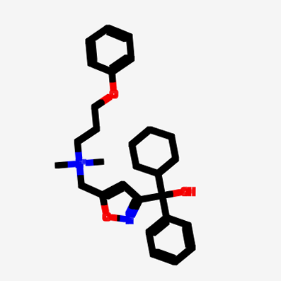 C[N+](C)(CCCOc1ccccc1)Cc1cc(C(O)(c2ccccc2)C2CCCCC2)no1